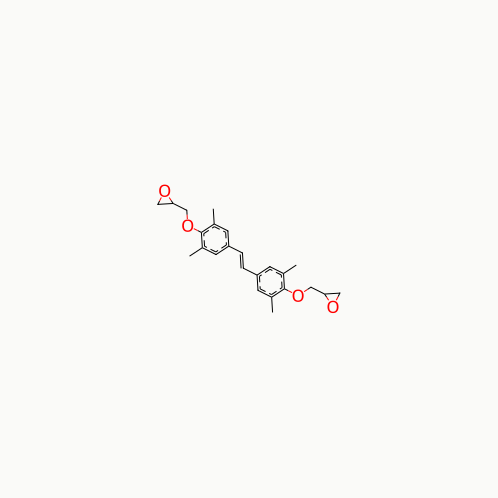 Cc1cc(C=Cc2cc(C)c(OCC3CO3)c(C)c2)cc(C)c1OCC1CO1